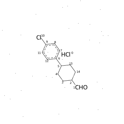 Cl.O=CC1CCC(c2ccc(Cl)cc2)CC1